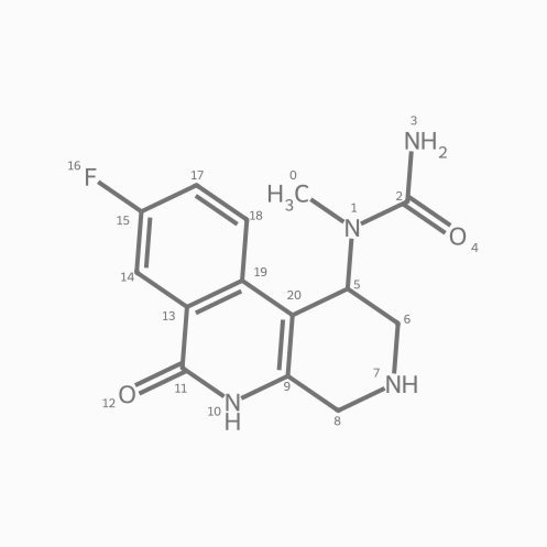 CN(C(N)=O)C1CNCc2[nH]c(=O)c3cc(F)ccc3c21